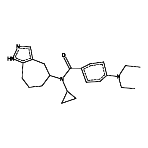 CCN(CC)c1ccc(C(=O)N(C2CC2)C2CCCc3[nH]ncc3C2)cc1